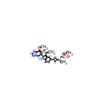 COc1cc(-c2[nH]c3ccc(C4CC(N(C)CCS(C)(=O)=O)C4)cc3c2C(C)C)cn2ncnc12